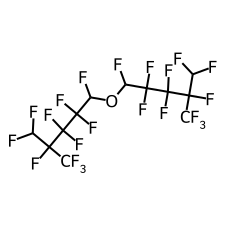 FC(OC(F)C(F)(F)C(F)(F)C(F)(C(F)F)C(F)(F)F)C(F)(F)C(F)(F)C(F)(C(F)F)C(F)(F)F